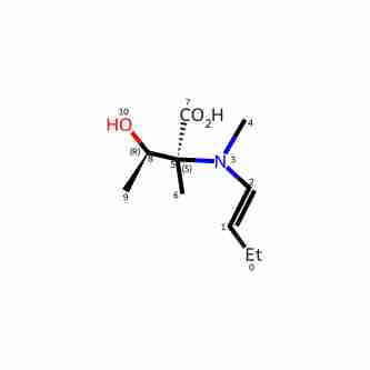 CCC=CN(C)[C@](C)(C(=O)O)[C@@H](C)O